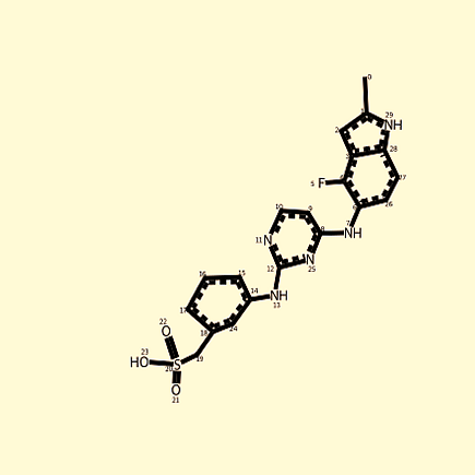 Cc1cc2c(F)c(Nc3ccnc(Nc4cccc(CS(=O)(=O)O)c4)n3)ccc2[nH]1